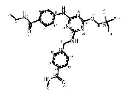 CCNC(=O)c1ccc(Nc2nc(NCc3ccc(C(=O)NC)cc3)nc(OCC(F)(F)F)n2)cc1